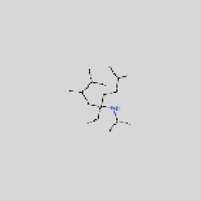 CCC(CCC(C)C)(CC(C)C(C)C)NC(C)C